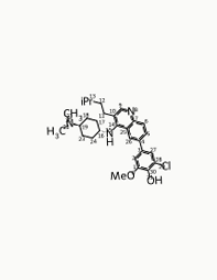 COc1cc(-c2ccc3ncc(CCC(C)C)c(N[C@H]4CC[C@H](N(C)C)CC4)c3c2)cc(Cl)c1O